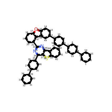 c1ccc(-c2ccc(-c3ccc(-c4ccc5oc6cccc(-c7nc(-c8ccc(-c9ccccc9)cc8)c8sc9ccccc9c8n7)c6c5c4)cc3)cc2)cc1